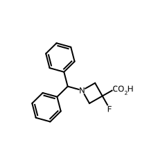 O=C(O)C1(F)CN(C(c2ccccc2)c2ccccc2)C1